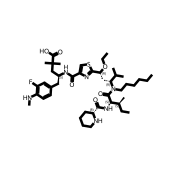 CCCCCCN(C(=O)[C@@H](NC(=O)[C@H]1CCCCN1)[C@@H](C)CC)[C@H](C[C@@H](OCC)c1nc(C(=O)N[C@@H](Cc2ccc(NC)c(F)c2)CC(C)(C)C(=O)O)cs1)C(C)C